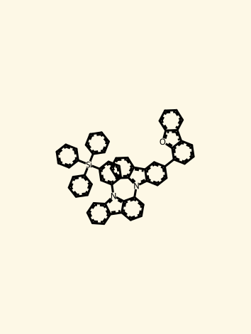 c1ccc([Si](c2ccccc2)(c2ccccc2)c2cccc(-n3c4ccccc4c4cccc(-n5c6ccccc6c6cc(-c7cccc8c7oc7ccccc78)ccc65)c43)c2)cc1